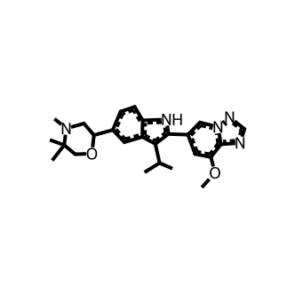 COc1cc(-c2[nH]c3ccc(C4CN(C)C(C)(C)CO4)cc3c2C(C)C)cn2ncnc12